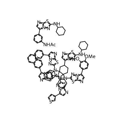 CC(=O)Nc1cccc(-c2cnc3sc(NC4CCCCC4)nn23)c1.COc1ccc(-c2cnc3sc(NC4(N(c5nn6c(-c7ccsc7)cnc6s5)C5CCCCC5)CCC(c5cnc6sc(NC7CCCCC7)nn56)CC4(N(c4nn5c(-c6cccnc6)cnc5s4)C4CCCCC4)N(c4nn5c(-c6ccc7ccccc7c6)cnc5s4)C4CCCCC4)nn23)cc1OC